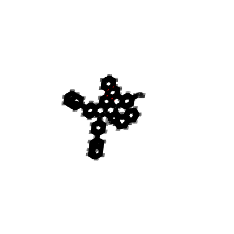 CC(C)(C)c1ccc(N2c3cc(-c4ccccc4)cc4c3B(c3sc5ccc6ccccc6c5c32)N(c2ccc(C35CC6CC(CC(C6)C3)C5)cc2)c2ccc(C35CC6CC(CC(C6)C3)C5)cc2-4)c(-c2ccccc2)c1